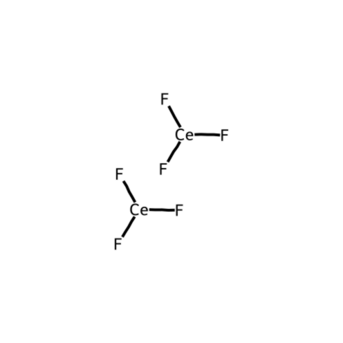 [F][Ce]([F])[F].[F][Ce]([F])[F]